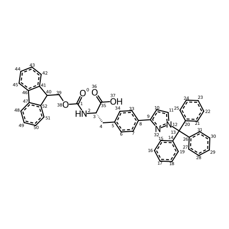 O=C(N[C@@H](Cc1ccc(-c2ccn(C(c3ccccc3)(c3ccccc3)c3ccccc3)n2)cc1)C(=O)O)OCC1c2ccccc2-c2ccccc21